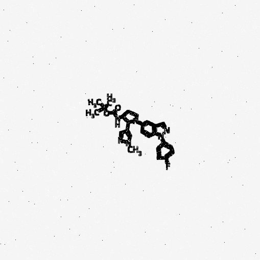 Cn1cc(C2C(NC(=O)OC(C)(C)C)CCN2c2ccc3c(cnn3-c3ccc(F)cc3)c2)cn1